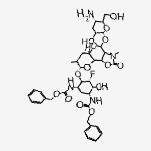 CC1C[C@@H]2OC(O[C@H]3OC(CO)[C@@H](N)CC3O)C3C(OC(=O)N3C)C2O[C@@H]1O[C@@H]1C(NC(=O)OCc2ccccc2)C[C@@H](NC(=O)OCc2ccccc2)C(O)[C@H]1F